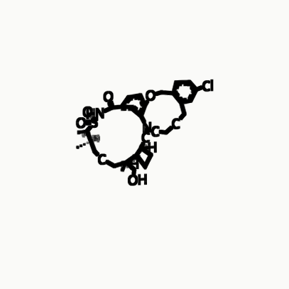 C[C@@H]1[C@@H](C)CCC[C@@](C)(CO)[C@@H]2CC[C@H]2CN2CCCCc3cc(Cl)ccc3COc3ccc(cc32)C(=O)NS1(=O)=O